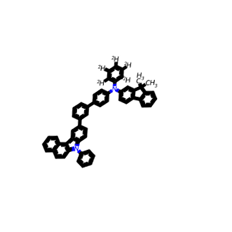 [2H]c1c([2H])c([2H])c(N(c2ccc(-c3cccc(-c4ccc5c(c4)c4c6ccccc6ccc4n5-c4ccccc4)c3)cc2)c2ccc3c(c2)C(C)(C)c2ccccc2-3)c([2H])c1[2H]